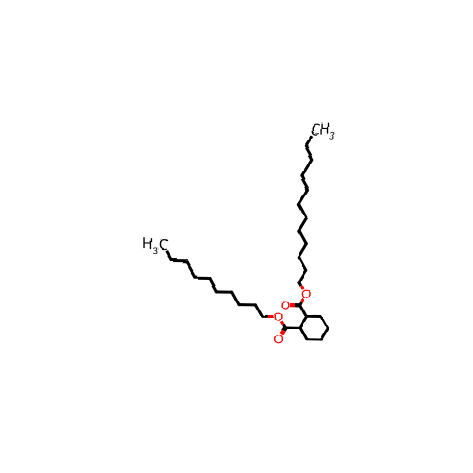 CCCCCCCCCCCCOC(=O)C1CCCCC1C(=O)OCCCCCCCCCC